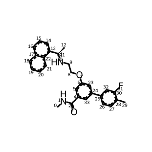 CNC(=O)c1cc(OCCN[C@H](C)c2cccc3ccccc23)cc(-c2ccc(C)c(F)c2)c1